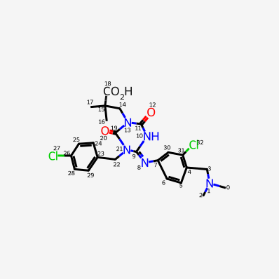 CN(C)Cc1ccc(/N=c2\[nH]c(=O)n(CC(C)(C)C(=O)O)c(=O)n2Cc2ccc(Cl)cc2)cc1Cl